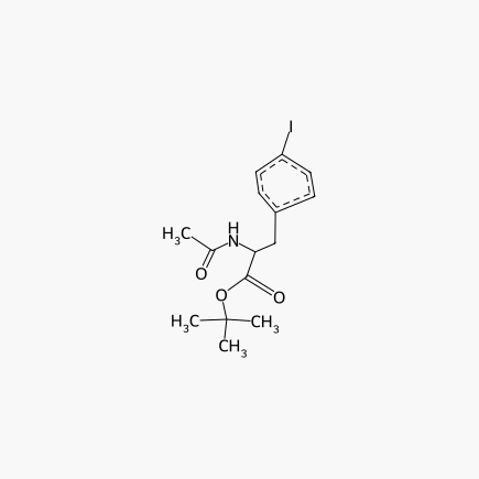 CC(=O)NC(Cc1ccc(I)cc1)C(=O)OC(C)(C)C